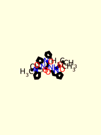 CC(C)N(C(=O)CN1C(=O)C(NC(=O)c2cc3ccccc3n2CC(=O)OC(C)(C)C)C(=O)N(c2ccccc2)c2ccccc21)c1ccccc1